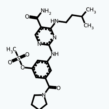 CC(C)CCNc1nc(Nc2cc(OS(C)(=O)=O)cc(C(=O)N3CCCC3)c2)ncc1C(N)=O